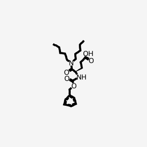 CCCCCN(CCCCC)C(=O)[C@@H](CCC(=O)O)NC(=O)OCc1ccccc1